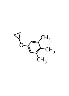 Cc1cc(OC2CC2)cc(C)c1C